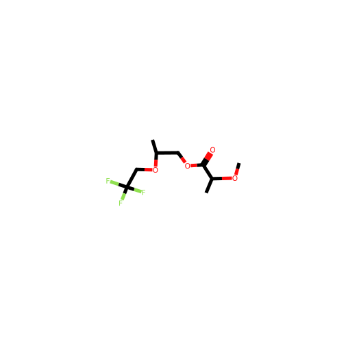 COC(C)C(=O)OCC(C)OCC(F)(F)F